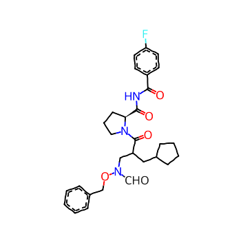 O=CN(CC(CC1CCCC1)C(=O)N1CCC[C@H]1C(=O)NC(=O)c1ccc(F)cc1)OCc1ccccc1